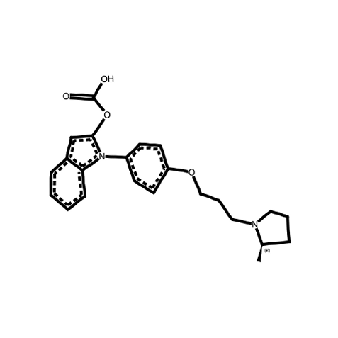 C[C@@H]1CCCN1CCCOc1ccc(-n2c(OC(=O)O)cc3ccccc32)cc1